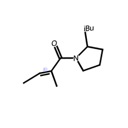 C/C=C(\C)C(=O)N1CCCC1C(C)CC